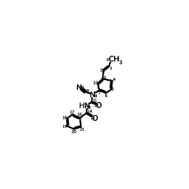 CC=Cc1cccc(N(C#N)C(=O)NC(=O)c2ccccc2)c1